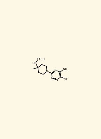 CC1(NC(=O)O)CCN(c2nnc(Br)c(N)n2)CC1